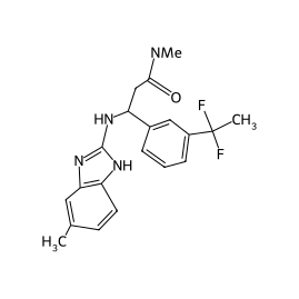 CNC(=O)CC(Nc1nc2cc(C)ccc2[nH]1)c1cccc(C(C)(F)F)c1